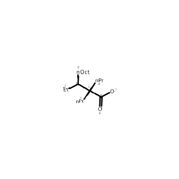 CCCCCCCCC(CC)C(CCC)(CCC)C([O])=O